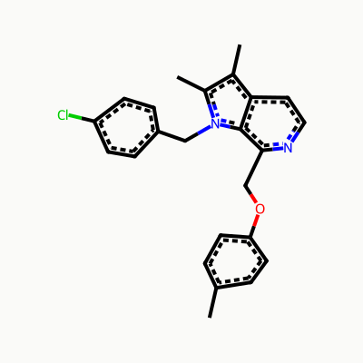 Cc1ccc(OCc2nccc3c(C)c(C)n(Cc4ccc(Cl)cc4)c23)cc1